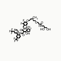 CN(CCOCCC(=O)NCC(O)CO)CCOc1ccc(CN2C(=O)C(C(=O)Nc3ccc(C(F)(F)F)cc3-c3cc(C(F)(F)F)ncn3)=C(O)C3(CCCC3)N2C)c(F)c1F